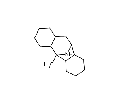 CC12NC(CC3CCCCC31)C1CCCCC12